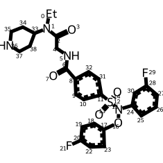 CCN(C(=O)CNC(=O)c1ccc(S(=O)(=O)N(Oc2ccc(F)cc2)c2cccc(F)c2)cc1)C1CCNCC1